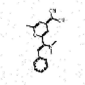 CC1=CC(=C(C#N)C#N)C=C(C(=Cc2ccccc2)N(C)C)O1